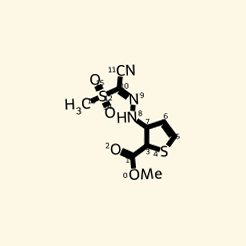 COC(=O)C1SC=CC1N/N=C(/C#N)S(C)(=O)=O